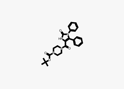 CC(C)(C)OC(=O)N1CCN(C(=O)c2[nH]c(=O)n(-c3ccccc3)c2-c2ccccc2)CC1